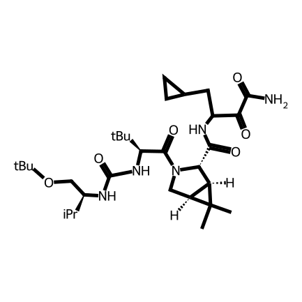 CC(C)[C@@H](COC(C)(C)C)NC(=O)N[C@H](C(=O)N1C[C@H]2[C@@H]([C@H]1C(=O)NC(CC1CC1)C(=O)C(N)=O)C2(C)C)C(C)(C)C